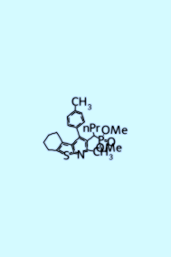 CCCC(c1c(C)nc2sc3c(c2c1-c1ccc(C)cc1)CCCC3)P(=O)(OC)OC